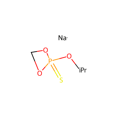 CC(C)OP1(=S)OCO1.[Na]